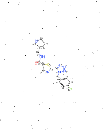 Cc1nc(-c2nnnn2Cc2ccc(F)cc2)sc1C(=O)NCc1cccnc1